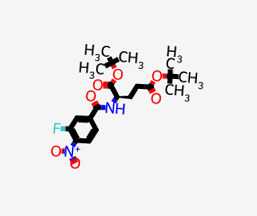 CC(C)(C)OC(=O)CC[C@@H](NC(=O)c1ccc([N+](=O)[O-])c(F)c1)C(=O)OC(C)(C)C